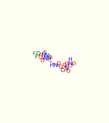 O=C(COc1cccc2c1C(=O)N(C1CCC(=O)NC1=O)C2=O)NCCCCCCNC(=O)COc1c(-c2csc(N3CCOCC3)n2)ccc(F)c1F